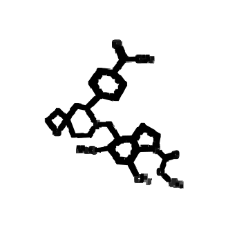 COC(=O)c1ccc(C2CC3(CCO3)CCN2Cc2c(OC)cc(C)c3c2ccn3C(=O)OC(C)(C)C)cc1